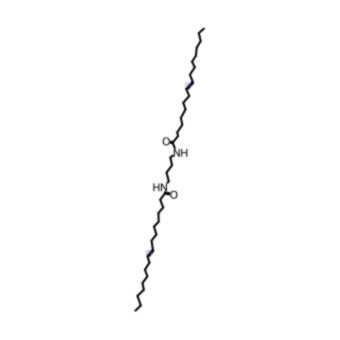 CCCCCCCC/C=C/CCCCCCCC(=O)NCCCCNC(=O)CCCCCCC/C=C/CCCCCCCC